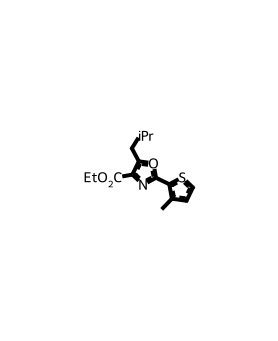 CCOC(=O)c1nc(-c2sccc2C)oc1CC(C)C